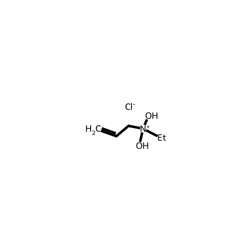 C=CC[N+](O)(O)CC.[Cl-]